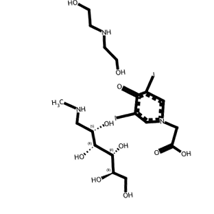 CNC[C@H](O)[C@@H](O)[C@H](O)[C@H](O)CO.O=C(O)Cn1cc(I)c(=O)c(I)c1.OCCNCCO